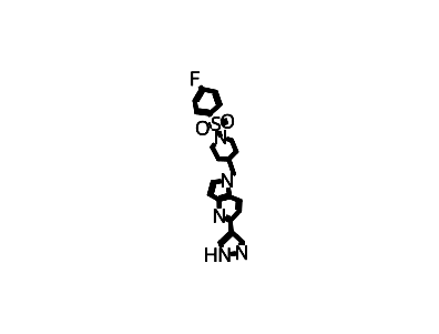 O=S(=O)(c1ccc(F)cc1)N1CCC(Cn2ccc3nc(-c4cn[nH]c4)ccc32)CC1